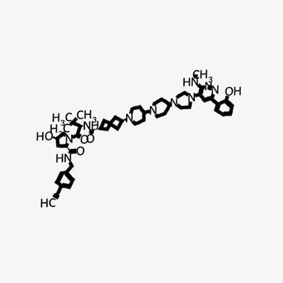 C#Cc1ccc(CNC(=O)[C@@H]2C[C@@H](O)CN2C(=O)[C@@H](NC(=O)[C@H]2CC3(C2)C[C@H](N2CCC(N4CCC(N5CCN(c6cc(-c7ccccc7O)nnc6NC)CC5)CC4)CC2)C3)C(C)(C)C)cc1